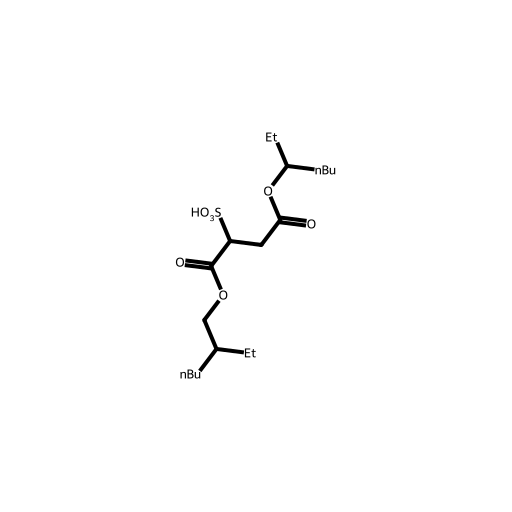 CCCCC(CC)COC(=O)C(CC(=O)OC(CC)CCCC)S(=O)(=O)O